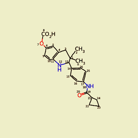 CC1(C)Cc2cc(OC(=O)O)ccc2NC1c1ccc(NC(=O)C2CCC2)cc1